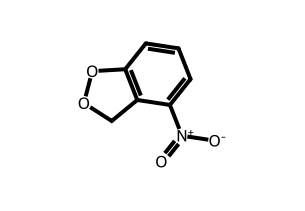 O=[N+]([O-])c1cccc2c1COO2